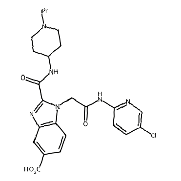 CC(C)N1CCC(NC(=O)c2nc3cc(C(=O)O)ccc3n2CC(=O)Nc2ccc(Cl)cn2)CC1